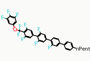 CCCCCc1ccc(-c2ccc(-c3cc(F)c(-c4cc(F)c(C(F)(F)Oc5cc(F)c(F)c(F)c5)c(F)c4)c(F)c3)c(F)c2)cc1